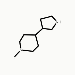 IN1CCC(C2CCNC2)CC1